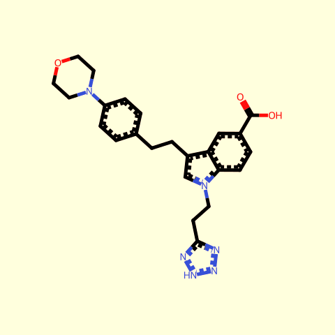 O=C(O)c1ccc2c(c1)c(CCc1ccc(N3CCOCC3)cc1)cn2CCc1nn[nH]n1